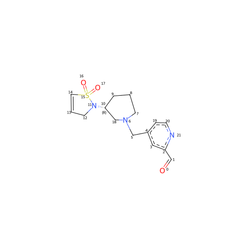 O=Cc1cc(CN2CCC[C@@H](N3CC=CS3(=O)=O)C2)ccn1